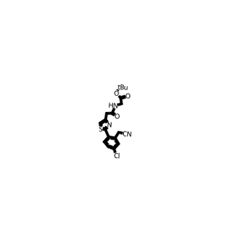 CC(C)(C)OC(=O)CNC(=O)Cc1csc(-c2ccc(Cl)cc2CC#N)n1